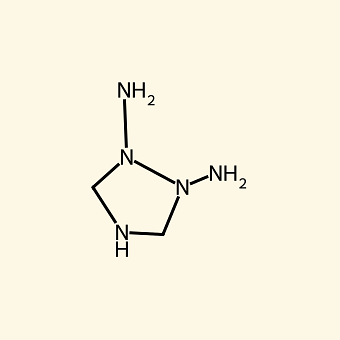 NN1CNCN1N